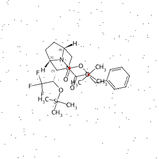 CC(C)(C)OC(=O)N1[C@@H]2CC[C@H]1[C@@H](C(O[Si](C)(C)C)C(F)(F)F)N(C(=O)OCc1ccccc1)C2